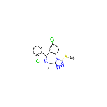 CC(=O)Sc1nnc2n1-c1ccc(Cl)cc1C(c1ccccc1Cl)=NC2C